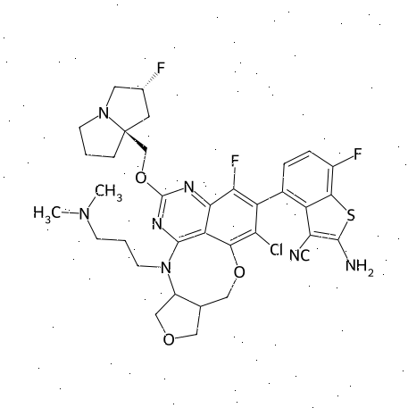 CN(C)CCCN1c2nc(OC[C@@]34CCCN3C[C@H](F)C4)nc3c(F)c(-c4ccc(F)c5sc(N)c(C#N)c45)c(Cl)c(c23)OCC2COCC21